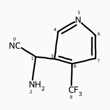 N#CC(N)c1cnccc1C(F)(F)F